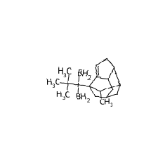 BC(B)(C(C)(C)C)C12CC3CC4C1=CCC4C(C3)C2C